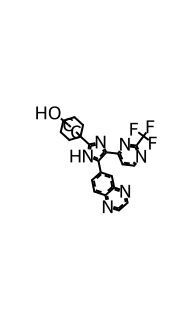 OC12CCC(c3nc(-c4ccnc(C(F)(F)F)n4)c(-c4ccc5nccnc5c4)[nH]3)(CC1)CC2